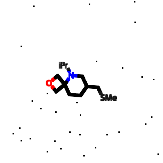 CSCC1CCC2(COC2)N(C(C)C)C1